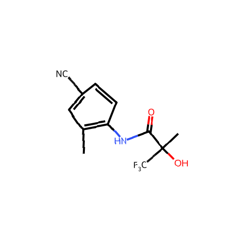 Cc1cc(C#N)ccc1NC(=O)C(C)(O)C(F)(F)F